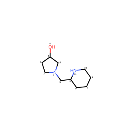 OC1CCN(CC2CCCCN2)C1